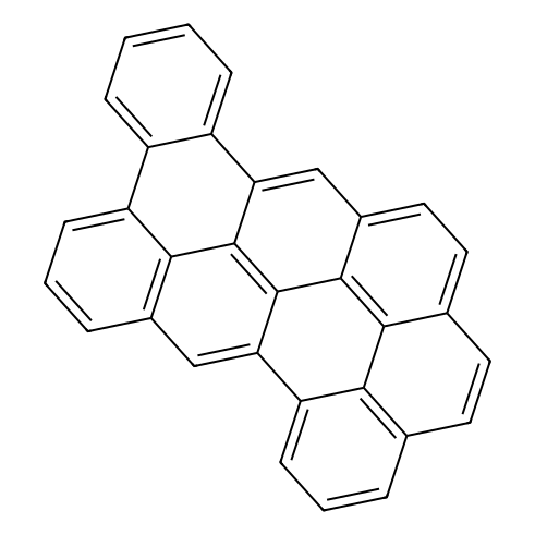 c1ccc2c(c1)c1cccc3cc4c5cccc6ccc7ccc8cc2c(c31)c4c8c7c65